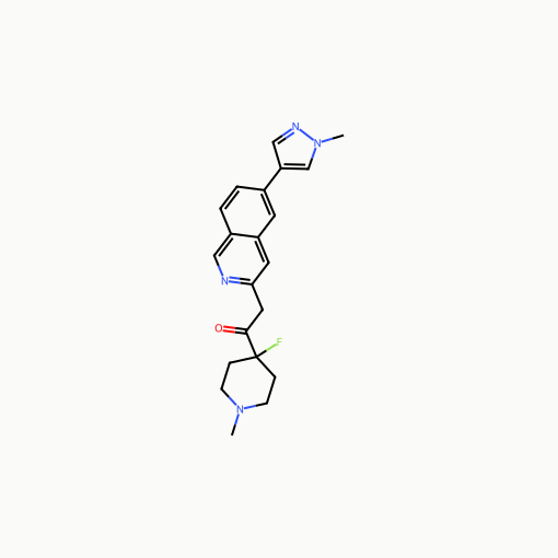 CN1CCC(F)(C(=O)Cc2cc3cc(-c4cnn(C)c4)ccc3cn2)CC1